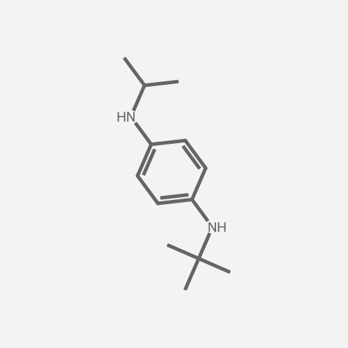 CC(C)Nc1ccc(NC(C)(C)C)cc1